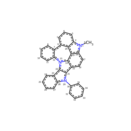 Cn1c2cccc3c4ccccc4n4c5c(ccc1c5c32)c1c4c2ccccc2n1-c1ccccc1